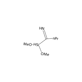 CCCC(=N)[SiH](OC)OC